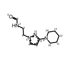 O=CNCCn1ccc(N2CCCCC2)n1